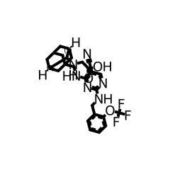 N#Cc1cnc(NCc2ccccc2OC(F)(F)F)nc1NCC12CC3C[C@H](C1)C(NCC(=O)O)[C@@H](C3)C2